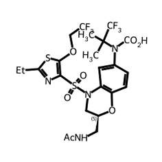 CCc1nc(S(=O)(=O)N2C[C@H](CNC(C)=O)Oc3ccc(N(C(=O)O)C(C)(C)C(F)(F)F)cc32)c(OCC(F)(F)F)s1